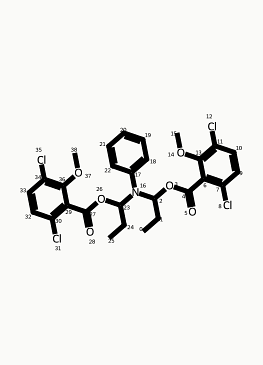 CCC(OC(=O)c1c(Cl)ccc(Cl)c1OC)N(c1ccccc1)C(CC)OC(=O)c1c(Cl)ccc(Cl)c1OC